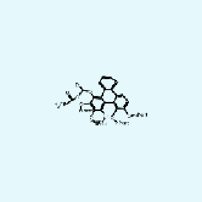 C=CC(=O)OC(CC)Oc1c(OCCCCC)c(OCCCCC)c(OCCCCC)c2c3c(OCCCCC)c(OCCCCC)ccc3c3ccccc3c12